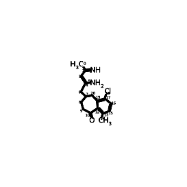 CC(=N)/C=C(\N)CC1CCC(=O)c2c(C)ccc(Cl)c2C1